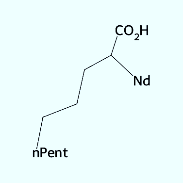 CCCCCCCC[CH]([Nd])C(=O)O